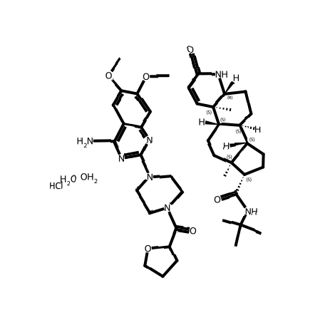 CC(C)(C)NC(=O)[C@H]1CC[C@H]2[C@@H]3CC[C@H]4NC(=O)C=C[C@]4(C)[C@H]3CC[C@]12C.COc1cc2nc(N3CCN(C(=O)C4CCCO4)CC3)nc(N)c2cc1OC.Cl.O.O